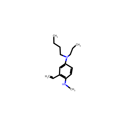 C=Cc1cc(N(CCC)CCCC)ccc1NC